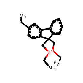 CCOCC1(COCC)c2ccccc2-c2cc(CC)ccc21